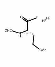 CSCC[C@H](NC=O)C(=O)F.F.F